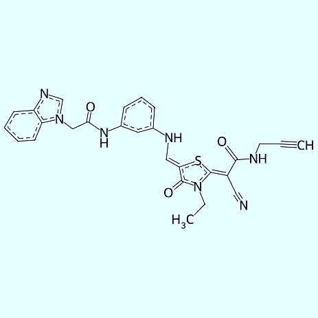 C#CCNC(=O)C(C#N)=c1sc(=CNc2cccc(NC(=O)Cn3cnc4ccccc43)c2)c(=O)n1CC